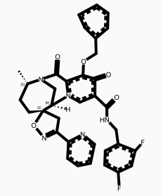 C[C@H]1CC[C@]2(CC(c3ccccn3)=NO2)[C@H]2CN1C(=O)c1c(OCc3ccccc3)c(=O)c(C(=O)NCc3ccc(F)cc3F)cn12